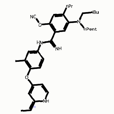 C/C=C1\C=C(Oc2ccc(NC(=N)c3cc(N(CCCCC)CC(C)CC)c(CCC)cc3OC#N)cc2C)C=CN1